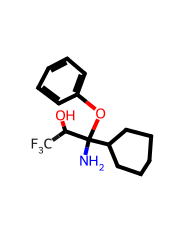 NC(Oc1ccccc1)(C1CCCCC1)C(O)C(F)(F)F